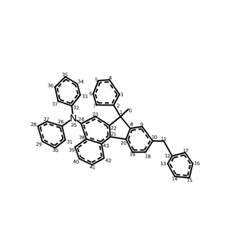 CC1(c2ccccc2)c2cc(Cc3ccccc3)ccc2-c2c1cc(N(c1ccccc1)c1ccccc1)c1ccccc21